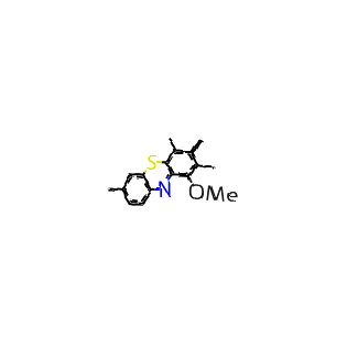 C=c1c(C)c(OC)c2c(c1C)Sc1cc(C)ccc1N=2